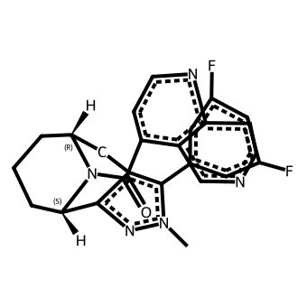 Cn1nc2c(c1-c1cc(F)cc(F)c1)C[C@H]1CCC[C@@H]2N1C(=O)c1ccnc2ccncc12